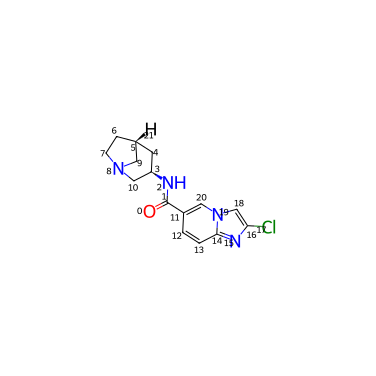 O=C(N[C@@H]1C[C@H]2CCN(C2)C1)c1ccc2nc(Cl)cn2c1